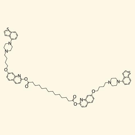 O=C(CCCCCCCCCCCCC(=O)Oc1ccc2ccc(OCCCCN3CCN(c4cccc5sccc45)CC3)cc2n1)Oc1ccc2ccc(OCCCCN3CCN(c4cccc5sccc45)CC3)cc2n1